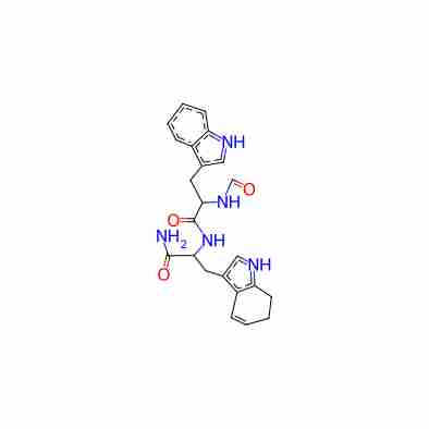 NC(=O)C(Cc1c[nH]c2c1C=CCC2)NC(=O)C(Cc1c[nH]c2ccccc12)NC=O